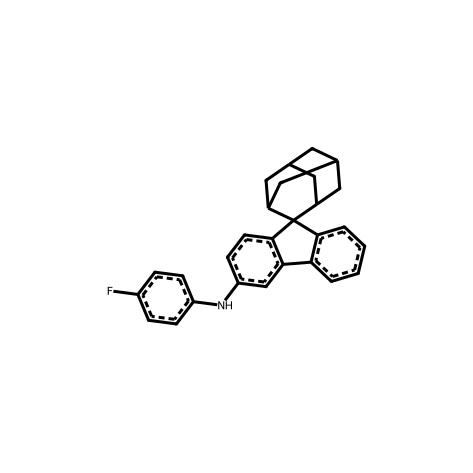 Fc1ccc(Nc2ccc3c(c2)-c2ccccc2C32C3CC4CC(C3)CC2C4)cc1